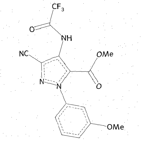 COC(=O)c1c(NC(=O)C(F)(F)F)c(C#N)nn1-c1cccc(OC)c1